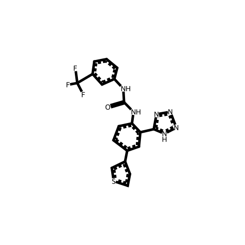 O=C(Nc1cccc(C(F)(F)F)c1)Nc1ccc(-c2ccsc2)cc1-c1nnn[nH]1